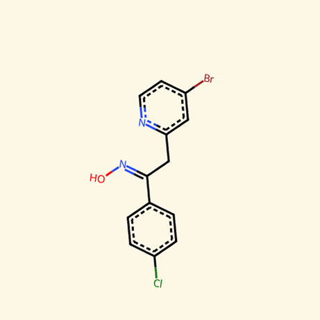 ON=C(Cc1cc(Br)ccn1)c1ccc(Cl)cc1